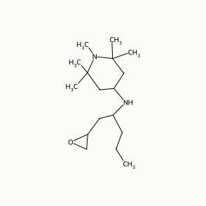 CCCC(CC1CO1)NC1CC(C)(C)N(C)C(C)(C)C1